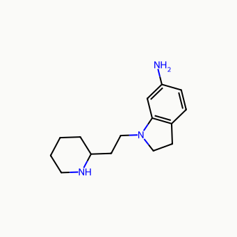 Nc1ccc2c(c1)N(CCC1CCCCN1)CC2